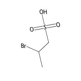 CC(Br)CS(=O)(=O)O